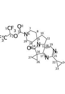 O=C(OC(C(F)(F)F)C(F)(F)F)N1CCC2(CCCN2C(=O)C2(c3ccnc(C4CC4)n3)CC2)CC1